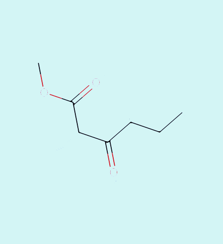 CCCC(=O)[C@H](C)C(=O)OC